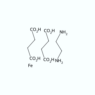 NCCN.O=C(O)CCC(=O)O.O=C(O)CCC(=O)O.[Fe]